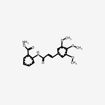 COc1cc(/C=C/C(=O)Nc2ccccc2C(=O)ON)cc(OC)c1OC